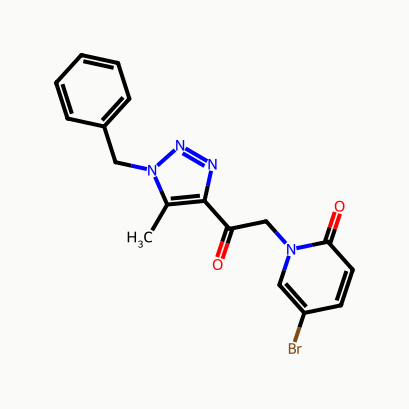 Cc1c(C(=O)Cn2cc(Br)ccc2=O)nnn1Cc1ccccc1